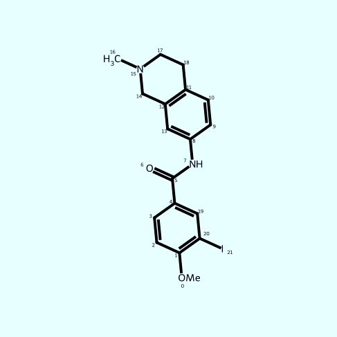 COc1ccc(C(=O)Nc2ccc3c(c2)CN(C)CC3)cc1I